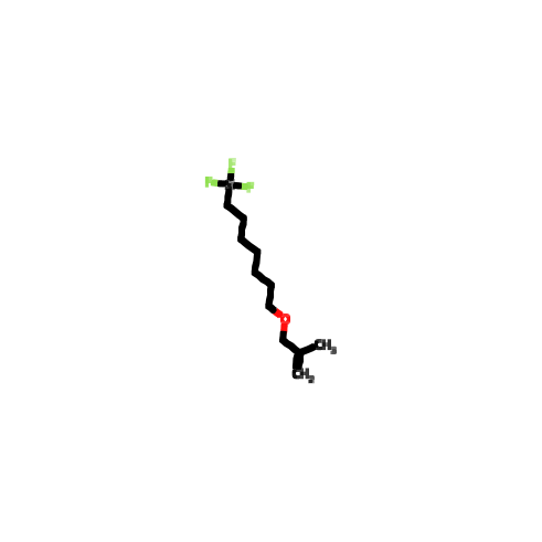 C=C(C)COCCCCCCC[Si](F)(F)F